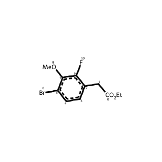 CCOC(=O)Cc1ccc(Br)c(OC)c1F